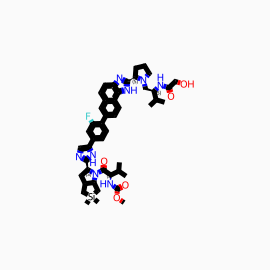 COC(=O)N[C@H](C(=O)N1C2C[Si](C)(C)CC2C[C@H]1c1ncc(-c2ccc(-c3ccc4c(ccc5nc([C@@H]6CCCN6C[C@@H](NC(=O)CO)C(C)C)[nH]c54)c3)c(F)c2)[nH]1)C(C)C